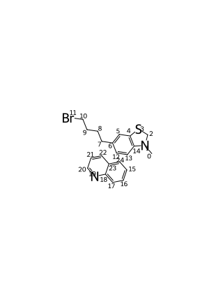 CN1CSc2cc(CCCCBr)ccc21.c1ccc2ncccc2c1